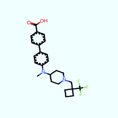 CN(c1ccc(-c2ccc(C(=O)O)cc2)cc1)C1CCN(CC2(C(F)(F)F)CCC2)CC1